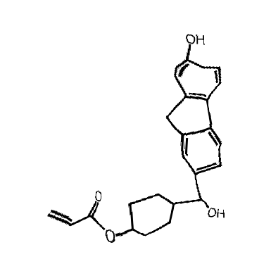 C=CC(=O)OC1CCC(C(O)c2ccc3c(c2)Cc2cc(O)ccc2-3)CC1